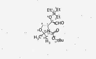 CC[Si](CC)(CC)O[C@@H](C=O)[C@H]1COC(C)(C)N1C(=O)OC(C)(C)C